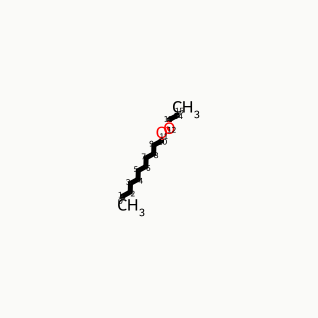 CCCCCCCCCCCOOCCC